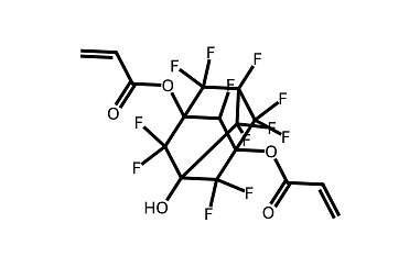 C=CC(=O)OC12C(F)C3(OC(=O)C=C)C(F)(F)C(O)(C1(F)F)C(F)(F)C(F)(C2(F)F)C3(F)F